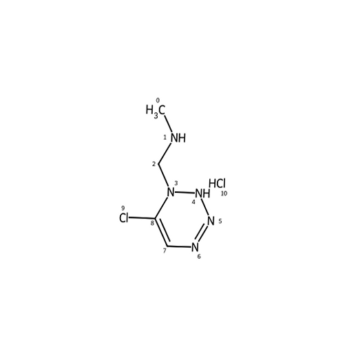 CNCN1NN=NC=C1Cl.Cl